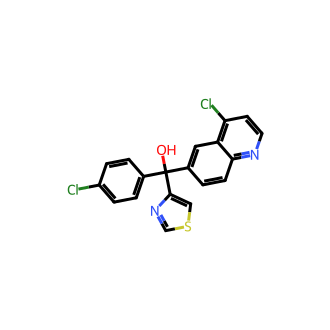 OC(c1ccc(Cl)cc1)(c1ccc2nccc(Cl)c2c1)c1cscn1